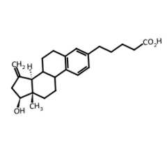 C=C1C[C@H](O)[C@@]2(C)CCC3c4ccc(CCCCC(=O)O)cc4CCC3[C@H]12